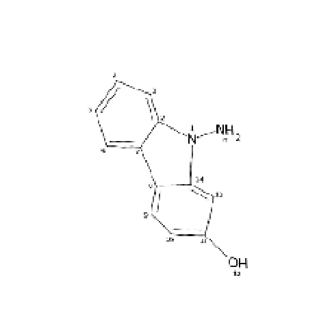 Nn1c2ccccc2c2ccc(O)cc21